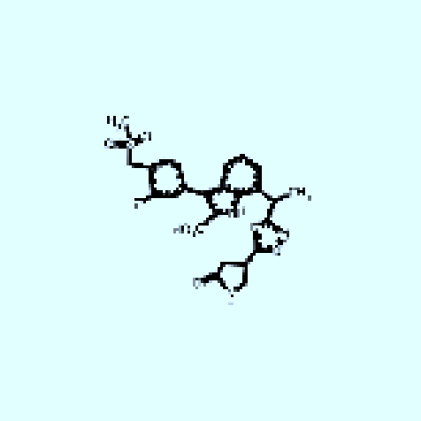 CC(c1noc(C2CNC(=O)C2)n1)c1cccc2c(-c3ccc(CS(C)(=O)=O)c(F)c3)c(C(=O)O)[nH]c12